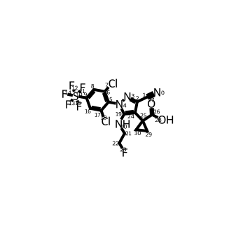 N#Cc1nn(-c2c(Cl)cc(S(F)(F)(F)(F)F)cc2Cl)c(NCCF)c1C1(C(=O)O)CC1